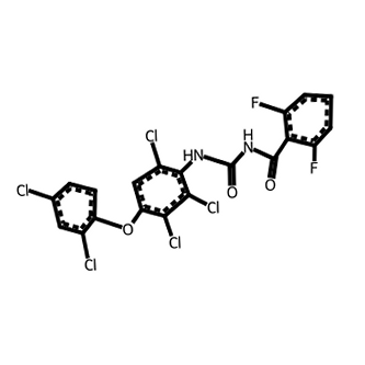 O=C(NC(=O)c1c(F)cccc1F)Nc1c(Cl)cc(Oc2ccc(Cl)cc2Cl)c(Cl)c1Cl